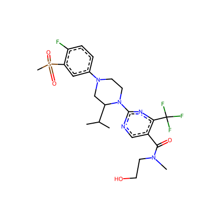 CC(C)C1CN(c2ccc(F)c(S(C)(=O)=O)c2)CCN1c1ncc(C(=O)N(C)CCO)c(C(F)(F)F)n1